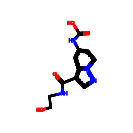 O=C(O)Nc1ccn2ncc(C(=O)NCCO)c2c1